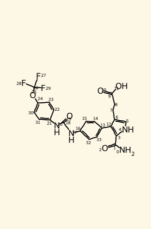 NC(=O)c1[nH]cc(CCC(=O)O)c1-c1ccc(NC(=O)Nc2ccc(OC(F)(F)F)cc2)cc1